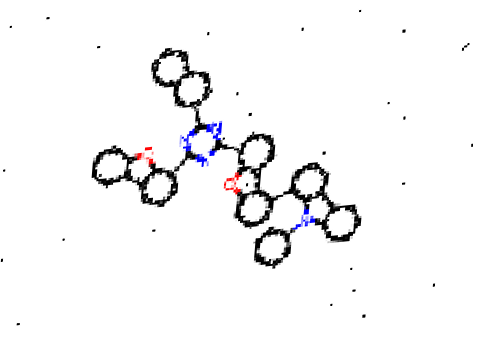 c1ccc(-n2c3ccccc3c3cccc(-c4cccc5oc6c(-c7nc(-c8ccc9ccccc9c8)nc(-c8cccc9c8oc8ccccc89)n7)cccc6c45)c32)cc1